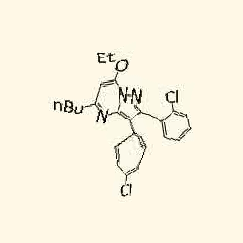 CCCCc1cc(OCC)n2nc(-c3ccccc3Cl)c(-c3ccc(Cl)cc3)c2n1